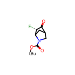 CC(C)(C)OC(=O)N1CC2CC1[C@H](F)C2=O